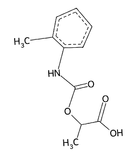 Cc1ccccc1NC(=O)OC(C)C(=O)O